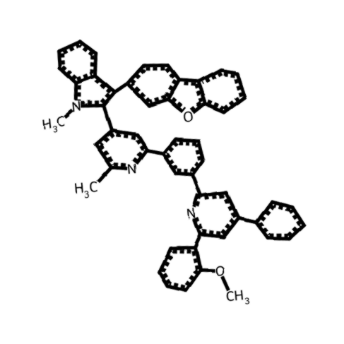 COc1ccccc1-c1cc(-c2ccccc2)cc(-c2cccc(-c3cc(-c4c(-c5ccc6c(c5)oc5ccccc56)c5ccccc5n4C)cc(C)n3)c2)n1